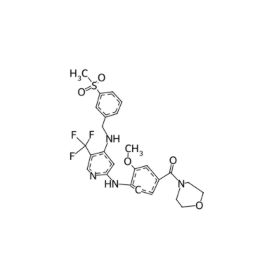 COc1cc(C(=O)N2CCOCC2)ccc1Nc1cc(NCc2cccc(S(C)(=O)=O)c2)c(C(F)(F)F)cn1